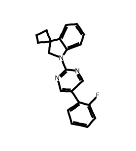 Fc1ccccc1-c1cnc(N2CC3(CCC3)c3cc[c]cc32)nc1